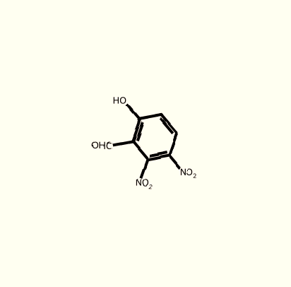 O=Cc1c(O)ccc([N+](=O)[O-])c1[N+](=O)[O-]